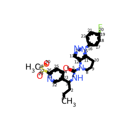 CCCC(NC(=O)N1CCCc2c1cnn2-c1ccc(F)cc1)c1ccc(S(C)(=O)=O)nc1